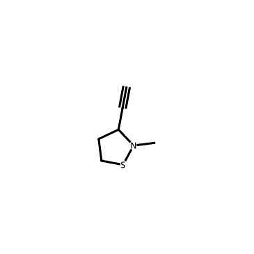 C#CC1CCSN1C